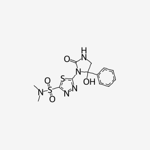 CN(C)S(=O)(=O)c1nnc(N2C(=O)NCC2(O)c2ccccc2)s1